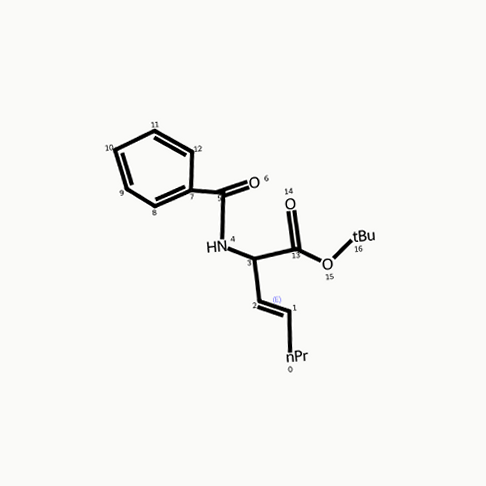 CCC/C=C/C(NC(=O)c1ccccc1)C(=O)OC(C)(C)C